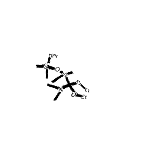 CCC[Si](C)(C)O[Si](C)(C)C(OCC)(OCC)N(C)C